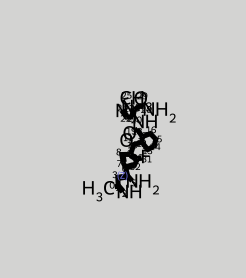 CC(=N)/C=C(\N)c1ccc(C(=O)C2CCCCC2C(=O)Nc2cnn(C)c2C(N)=O)c(F)c1